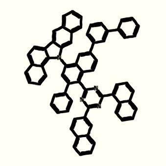 c1ccc(-c2cccc(-c3ccc4c(-c5nc(-c6ccc7ccccc7c6)nc(-c6cccc7ccccc67)n5)c(-c5ccccc5)cc(-n5c6cc7ccccc7cc6c6ccc7ccccc7c65)c4c3)c2)cc1